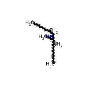 C=C(C/C=C\c1cc(CCC(=C)CCCCCCCCCCCCC)cc(CNC)c1)CCCCCCCCCCCCC